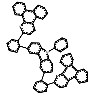 c1ccc(-n2c3ccc(-c4ccccc4-c4ccc5c6ccccc6c6ccccc6c5n4)cc3c3cc(-c4ccccc4-c4ccc5c6ccccc6c6ccccc6c5n4)ccc32)cc1